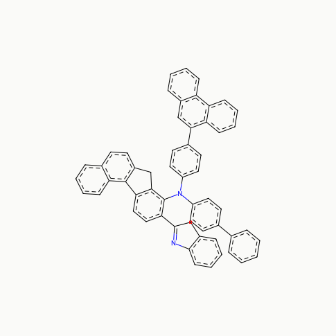 c1ccc(-c2ccc(N(c3ccc(-c4cc5ccccc5c5ccccc45)cc3)c3c(C4=Nc5ccccc5C4)ccc4c3Cc3ccc5ccccc5c3-4)cc2)cc1